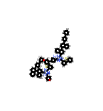 c1ccc(-c2ccc(-c3ccc4ccccc4c3-c3ccc(-c4nc(-c5ccccc5)nc(-c5cccc6c5sc5cccc(-c7ccc(C8N=C(c9cccc%10c9sc9ccccc9%10)N=C(c9ccc(-c%10ccc(-c%11ccc(-c%12ccccc%12)cc%11)c%11ccccc%10%11)c%10ccccc9%10)N8)cc7)c56)n4)c4ccccc34)cc2)cc1